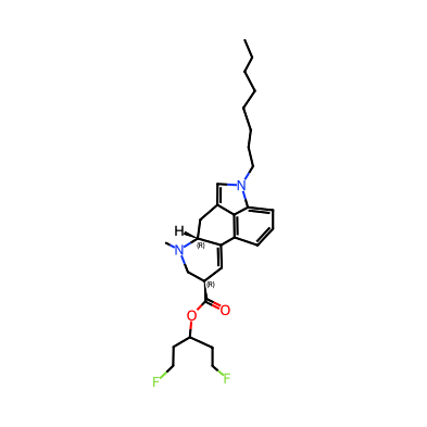 CCCCCCCCn1cc2c3c(cccc31)C1=C[C@@H](C(=O)OC(CCF)CCF)CN(C)[C@@H]1C2